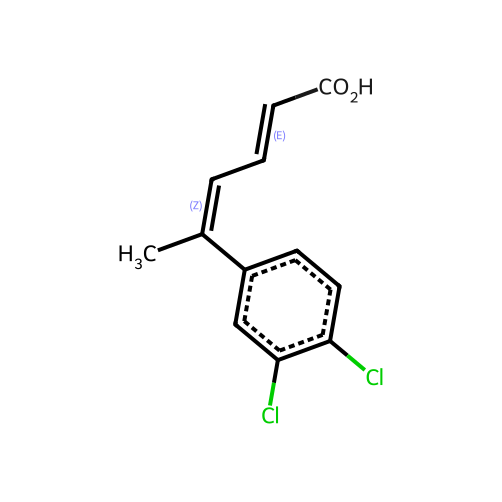 C/C(=C/C=C/C(=O)O)c1ccc(Cl)c(Cl)c1